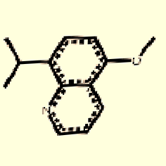 COc1ccc(C(C)C)c2ncccc12